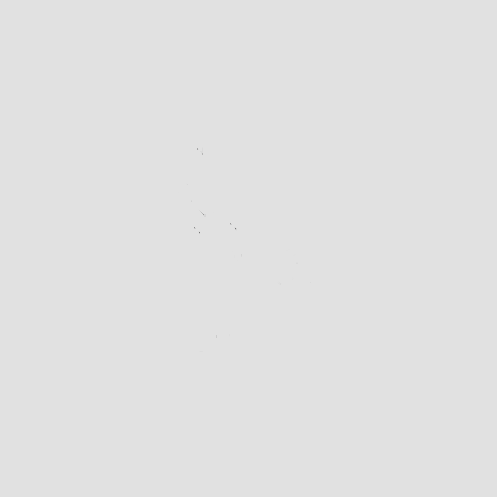 CCC(=O)CCCCC[C@H](NC(=O)[C@H]1CC12CCNCC2)c1ncc(-c2ccc(Cl)cc2)o1